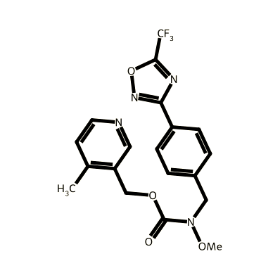 CON(Cc1ccc(-c2noc(C(F)(F)F)n2)cc1)C(=O)OCc1cnccc1C